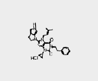 CC(C)=CCn1c(N2CCC3CNC=C32)nc2c1c(=O)n(CCc1ccccc1)c(=O)n2C1CC1.Cl